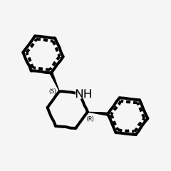 c1ccc([C@@H]2CCC[C@H](c3ccccc3)N2)cc1